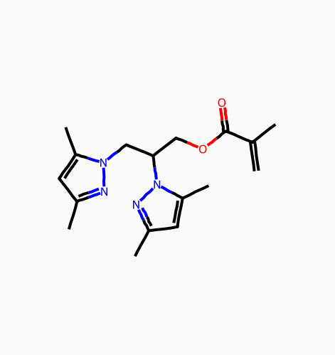 C=C(C)C(=O)OCC(Cn1nc(C)cc1C)n1nc(C)cc1C